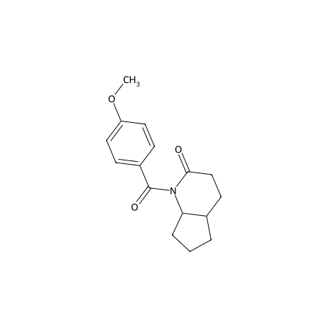 COc1ccc(C(=O)N2C(=O)CCC3CCCC32)cc1